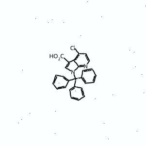 O=C(O)c1cn(C(c2ccccc2)(c2ccccc2)c2ccccc2)c2nccc(Cl)c12